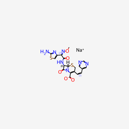 CO/N=C(\C(=O)N[C@@H]1C(=O)N2C(C(=O)[O-])=C(/C=C\c3cncnc3)CS[C@@H]12)c1csc(N)n1.[Na+]